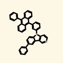 c1ccc(-c2ccc3c(c2)c2cnccc2n3-c2cccc(-c3c4ccccc4c(-c4ccccc4)c4ccccc34)c2)cc1